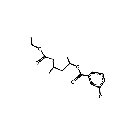 CCOC(=O)SC(C)CC(C)OC(=O)c1cccc(Cl)c1